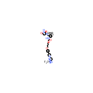 Cc1cccc(NC(=O)COCCCCOc2ccc(C3CCN(C4=Nn5c(nnc5C(F)(F)F)CC4)CC3)cc2)c1CN(C=O)C1CCC(=O)NC1=O